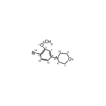 COc1cc(N2CCOCC2)ccc1Br